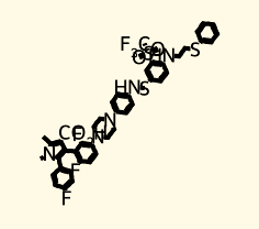 Cc1c(C(=O)O)c(-c2c(F)ccc(N3CCN(c4ccc(NSc5ccc(NCCSc6ccccc6)c(S(=O)(=O)C(F)(F)F)c5)cc4)CC3)c2F)c(-c2ccc(F)cc2)n1C